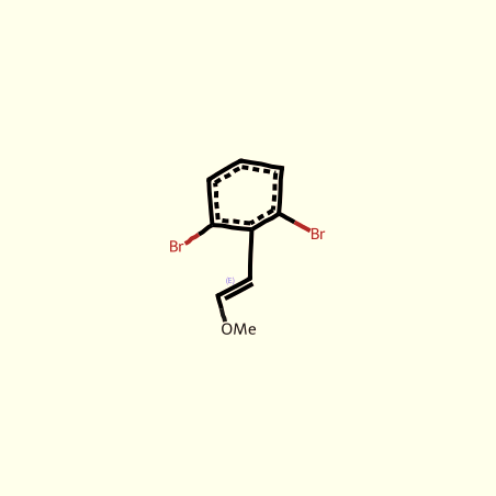 CO/C=C/c1c(Br)cccc1Br